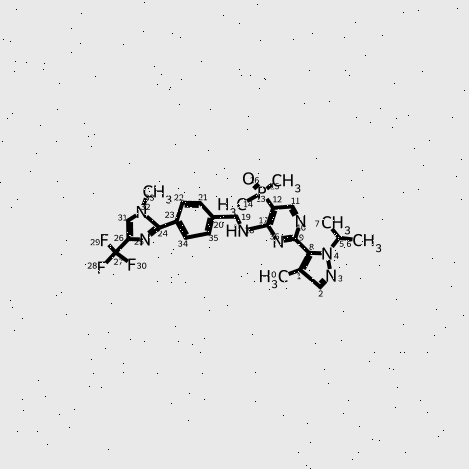 Cc1cnn(C(C)C)c1-c1ncc(P(C)(C)=O)c(NCc2ccc(-c3nc(C(F)(F)F)cn3C)cc2)n1